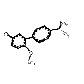 COc1ccc(Cl)cc1-c1ccc([C@@H](C)N)cc1